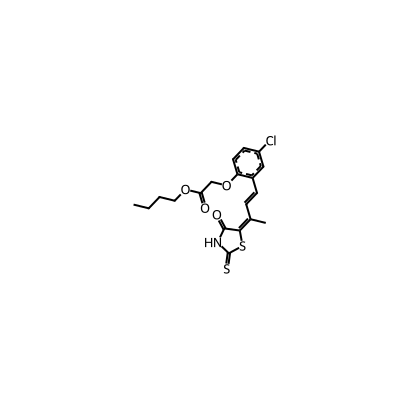 CCCCOC(=O)COc1ccc(Cl)cc1/C=C/C(C)=C1/SC(=S)NC1=O